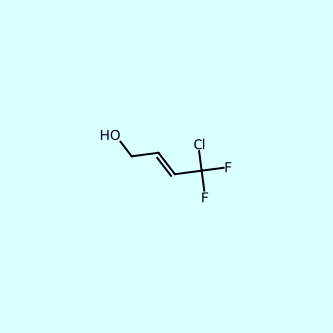 OCC=CC(F)(F)Cl